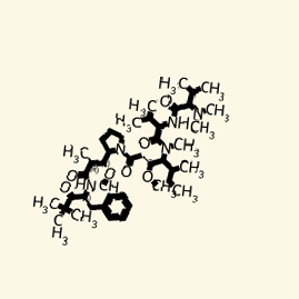 CCC(C)C([C@@H](CC(=O)N1CCCC1[C@H](OC)[C@@H](C)C(=O)N[C@@H](Cc1ccccc1)C(=O)C(C)(C)C)OC)N(C)C(=O)C(NC(=O)C(C(C)C)N(C)C)C(C)C